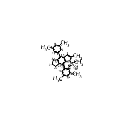 CC1=Cc2c(-c3cc(C)cc(C)c3)c3c(c(-c4cc(C)cc(C)c4)c2C1S(C)(C)Cl)CCC3